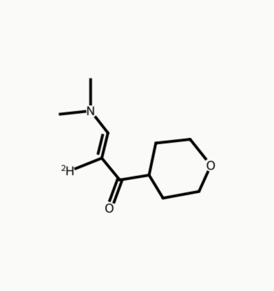 [2H]C(=CN(C)C)C(=O)C1CCOCC1